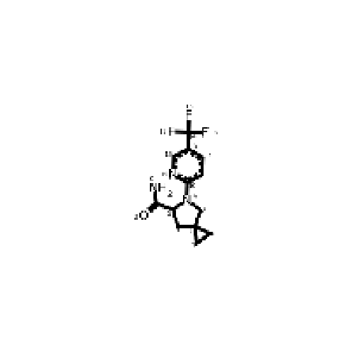 NC(=O)C1CC2(CC2)CN1c1ccc(C(F)(F)F)cn1